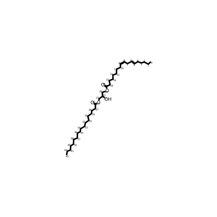 CCCCC/C=C/C/C=C\CCCCCCCC(=O)OCC(O)COC(=O)CCCCCCCCCCCCCCCCC